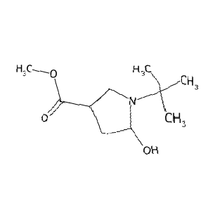 COC(=O)C1CC(O)N(C(C)(C)C)C1